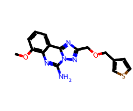 COc1cccc2c1nc(N)n1nc(COCc3ccsc3)nc21